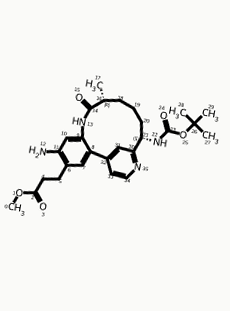 COC(=O)CCc1cc2c(cc1N)NC(=O)[C@H](C)CCC[C@H](NC(=O)OC(C)(C)C)c1cc-2ccn1